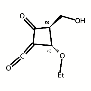 CCO[C@@H]1C(=C=O)C(=O)[C@H]1CO